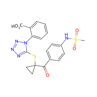 CS(=O)(=O)Nc1ccc(C(=O)C2(Sc3nnnn3-c3ccccc3C(=O)O)CC2)cc1